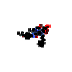 COc1ccc(CNC(=O)N2[C@H]3CN(CCCc4ccccc4)C(=O)[C@H](CC(=O)O)N3C(=O)CN2C)cc1